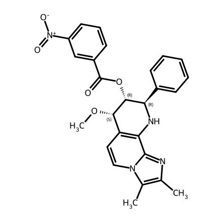 CO[C@H]1c2ccn3c(C)c(C)nc3c2N[C@H](c2ccccc2)[C@H]1OC(=O)c1cccc([N+](=O)[O-])c1